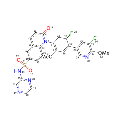 COC1=C(n2c(=O)ccc3cc(S(=O)(=O)Nc4cnccn4)ccc32)C[C@@H](F)C(c2cnc(OC)c(Cl)c2)=C1